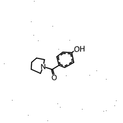 O=C(c1ccc(O)cc1)N1CCCCC1